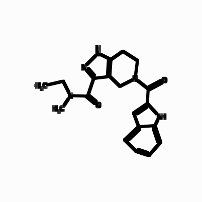 [CH2]CN(C)C(=O)c1n[nH]c2c1CN(C(=O)c1cc3ccccc3[nH]1)CC2